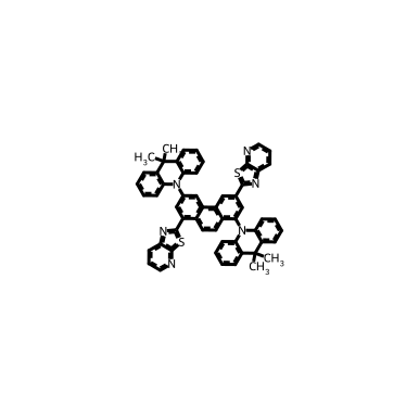 CC1(C)c2ccccc2N(c2cc(-c3nc4cccnc4s3)c3ccc4c(N5c6ccccc6C(C)(C)c6ccccc65)cc(-c5nc6cccnc6s5)cc4c3c2)c2ccccc21